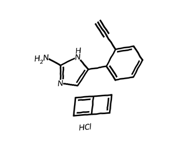 C#Cc1ccccc1-c1cnc(N)[nH]1.Cl.c1cc2ccc1-2